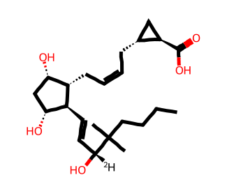 [2H][C@@](O)(/C=C/[C@@H]1[C@@H](C/C=C\C[C@@H]2C[C@H]2C(=O)O)[C@@H](O)C[C@H]1O)C(C)(C)CCCC